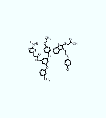 CCOc1ccc(Oc2cc(NC(=O)Cn3cnc([N+](=O)[O-])n3)cc(Oc3cccc(C)c3)c2)cc1.O=C(O)CSc1nc2ccccc2n1CCOc1ccc(Cl)cc1